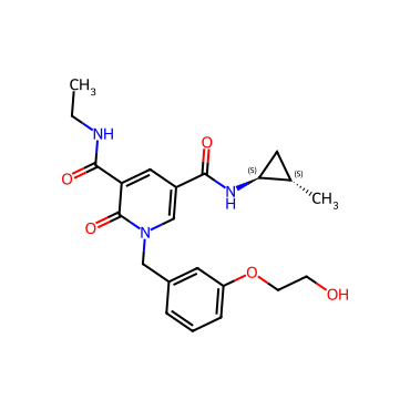 CCNC(=O)c1cc(C(=O)N[C@H]2C[C@@H]2C)cn(Cc2cccc(OCCO)c2)c1=O